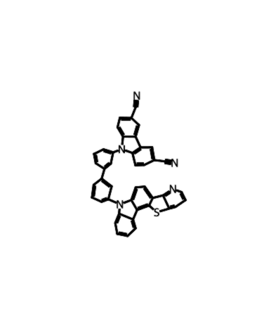 N#Cc1ccc2c(c1)c1cc(C#N)ccc1n2-c1cccc(-c2cccc(-n3c4ccccc4c4c5sc6cccnc6c5ccc43)c2)c1